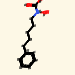 O=C(O)N(O)CCCCCc1ccccc1